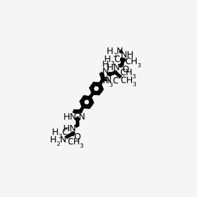 CC(C)(N)C(=O)NCc1nc(-c2ccc(-c3ccc(-c4c[nH]c(C(NC(=O)C(C)(C)NN)C(C)(C)C)n4)cc3)cc2)c[nH]1